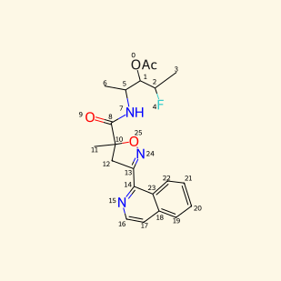 CC(=O)OC(C(C)F)C(C)NC(=O)C1(C)CC(c2nccc3ccccc23)=NO1